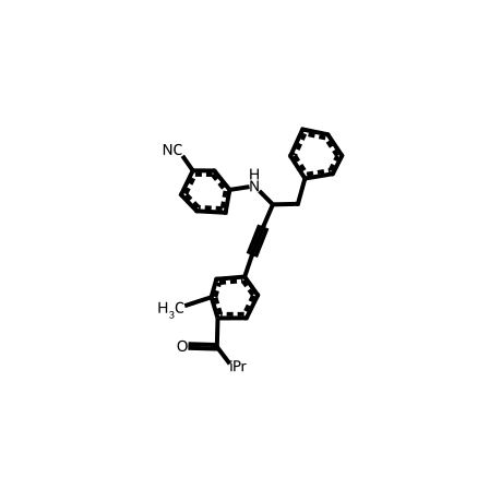 Cc1cc(C#CC(Cc2ccccc2)Nc2cccc(C#N)c2)ccc1C(=O)C(C)C